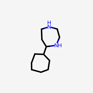 C1CCCC(C2CCNCCN2)CC1